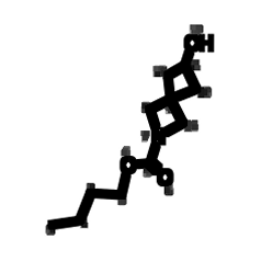 CCCCOC(=O)N1CC2(CC(O)C2)C1